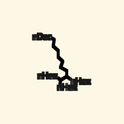 CCCCCCCCCCCCCCCCCC(CCCCCC)C(CCCCCC)CCCCCC